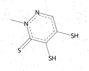 Cn1ncc(S)c(S)c1=S